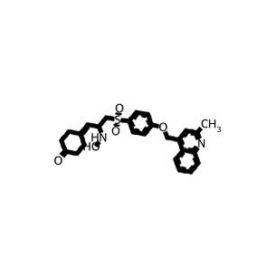 Cc1cc(COc2ccc(S(=O)(=O)CC(C=C3CCC(=O)CC3)NO)cc2)c2ccccc2n1